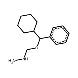 NNCOC(c1ccccc1)C1CCCCC1